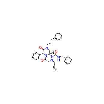 C#CCN1CC(=O)N2[C@@H](c3ccccc3)C(=O)N(CCCc3ccccc3)C[C@@H]2N1C(=O)NCc1ccccc1